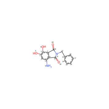 Nc1cc(O)c(O)c2c1C(=O)N(Cc1ccccc1)C2=O